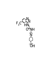 CC(C)(O)C1CCC(N2CC(NC(=O)CNc3ncnc4ccc(C(F)(F)F)cc34)C2)CC1